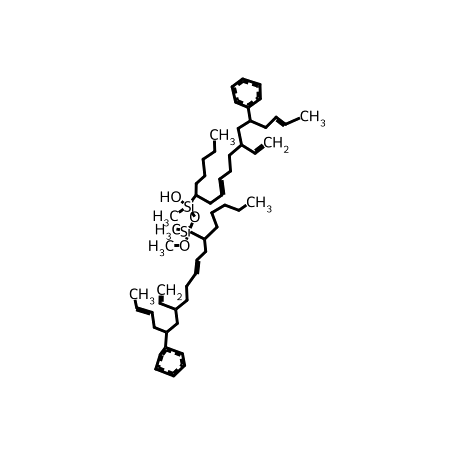 C=CC(CC/C=C/CC(CCCCC)[Si](C)(O)O[Si](C)(OC)C(C/C=C/CCC(C=C)CC(C/C=C/C)c1ccccc1)CCCCC)CC(C/C=C/C)c1ccccc1